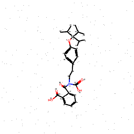 CC(C)[Si](Oc1ccc(CCN(C(=O)O)C(=O)c2ccccc2C(=O)O)cc1)(C(C)C)C(C)C